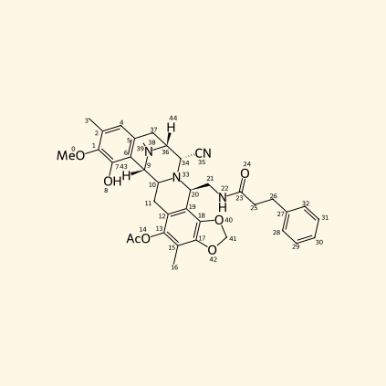 COc1c(C)cc2c(c1O)[C@H]1C3Cc4c(OC(C)=O)c(C)c5c(c4[C@H](CNC(=O)CCc4ccccc4)N3[C@@H](C#N)[C@@H](C2)N1C)OCO5